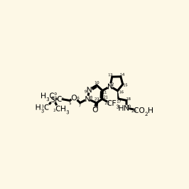 C[Si](C)(C)CCOCn1ncc(N2CCC[C@H]2CCNC(=O)O)c(C(F)(F)F)c1=O